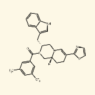 O=C(c1cc(C(F)(F)F)cc(C(F)(F)F)c1)N1C[C@H]2CCC(c3nccs3)=CN2C[C@H]1Cc1c[nH]c2ccccc12